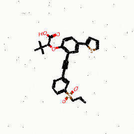 CCCS(=O)(=O)c1cccc(C#Cc2cc(-c3cccs3)ccc2OC(C(=O)O)C(C)(C)C)c1